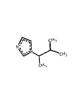 CC(C)C(C)n1ccnc1